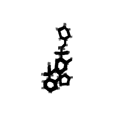 Cc1cc2c(cc1S(=O)(=O)NCC1CCOCC1)S(=O)(=O)c1ccccc1C21CCCC1